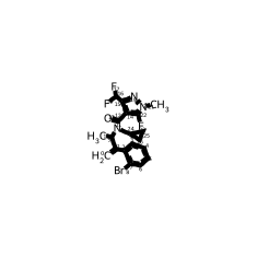 C=C(c1ccccc1Br)C(C)N(C(=O)c1c(C(F)F)nn(C)c1F)C1CC1